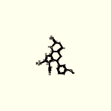 COc1cccc(C2CC3=CCC(=N)OC3c3nc(N)n(C#N)c32)c1